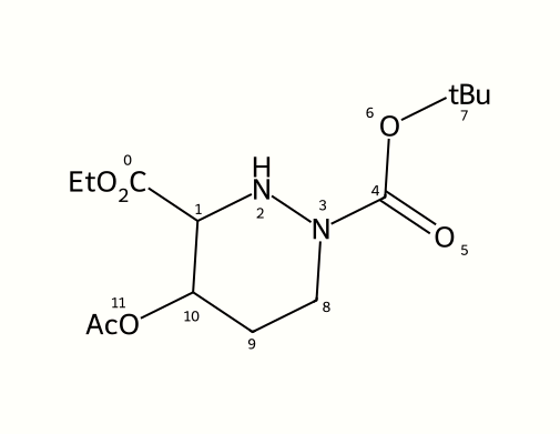 CCOC(=O)C1NN(C(=O)OC(C)(C)C)CCC1OC(C)=O